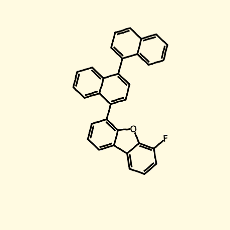 Fc1cccc2c1oc1c(-c3ccc(-c4cccc5ccccc45)c4ccccc34)cccc12